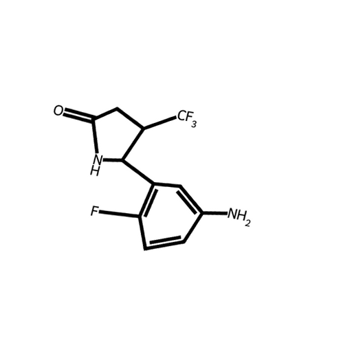 Nc1ccc(F)c(C2NC(=O)CC2C(F)(F)F)c1